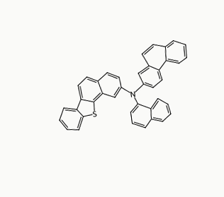 c1ccc2c(N(c3ccc4c(ccc5ccccc54)c3)c3ccc4ccc5c6ccccc6sc5c4c3)cccc2c1